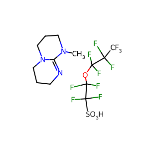 CN1CCCN2CCCN=C12.O=S(=O)(O)C(F)(F)C(F)(F)OC(F)(F)C(F)(F)C(F)(F)F